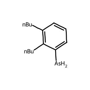 CCCCc1cccc([AsH2])c1CCCC